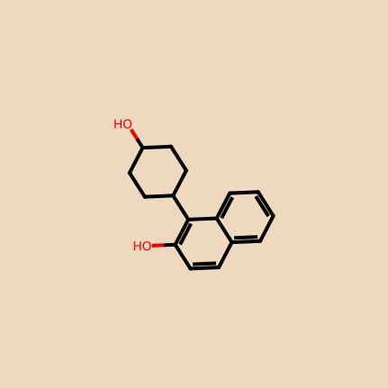 Oc1ccc2ccccc2c1C1CCC(O)CC1